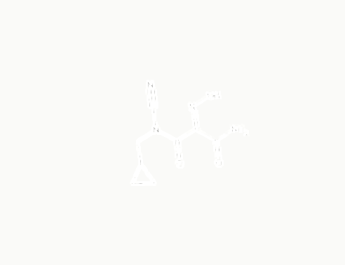 N#CN(CC1CC1)C(=O)C(=NO)C(N)=O